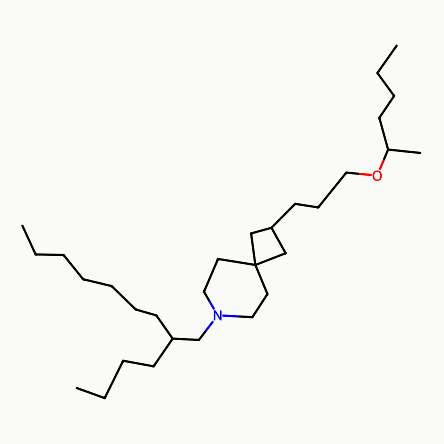 CCCCCCCC(CCCC)CN1CCC2(CC1)CC(CCCOC(C)CCCC)C2